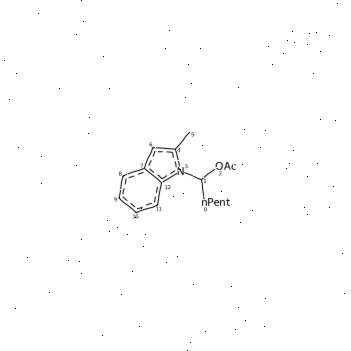 CCCCCC(OC(C)=O)n1c(C)cc2ccccc21